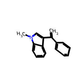 C=C(c1ccccc1)c1cn(C)c2ccccc12